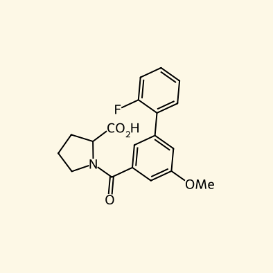 COc1cc(C(=O)N2CCCC2C(=O)O)cc(-c2ccccc2F)c1